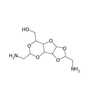 NCC1OC2OC3C(CO)OC(CN)OC3C2O1